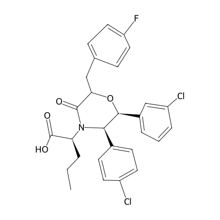 CCC[C@@H](C(=O)O)N1C(=O)C(Cc2ccc(F)cc2)O[C@@H](c2cccc(Cl)c2)[C@H]1c1ccc(Cl)cc1